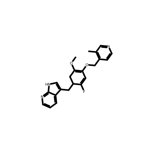 COC1=C(OCc2ccncc2C)C=C(F)C(Cc2c[nH]c3ncccc23)C1